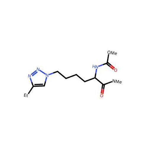 CCc1cn(CCCCC(NC(=O)OC)C(=O)NC)nn1